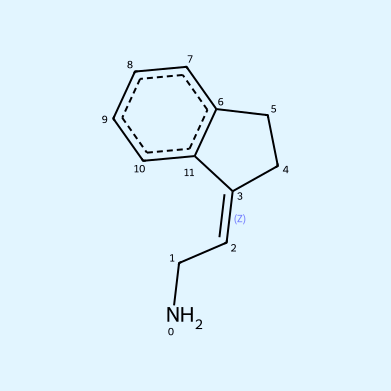 NC/C=C1/CCc2ccccc21